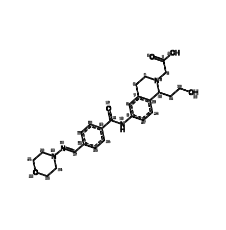 O=C(O)CN1CCc2cc(NC(=O)c3ccc(C=NN4CCOCC4)cc3)ccc2C1CCO